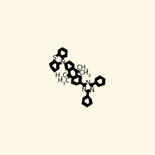 CC1(C)c2ccc(N3c4ccccc4Sc4ccccc43)cc2C(C)(C)c2ccc(-c3nc(-c4ccccc4)nc(-c4ccccc4)n3)cc21